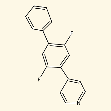 Fc1cc(-c2ccncc2)c(F)cc1-c1ccccc1